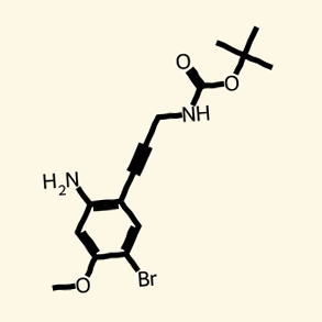 COc1cc(N)c(C#CCNC(=O)OC(C)(C)C)cc1Br